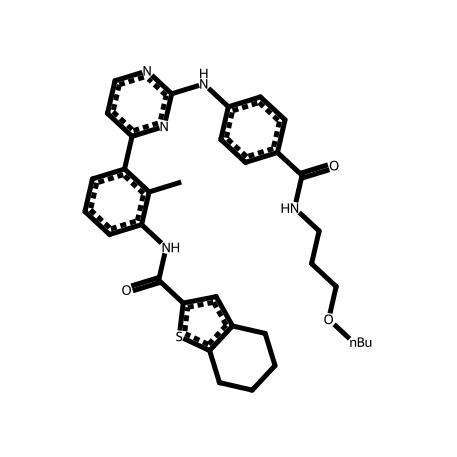 CCCCOCCCNC(=O)c1ccc(Nc2nccc(-c3cccc(NC(=O)c4cc5c(s4)CCCC5)c3C)n2)cc1